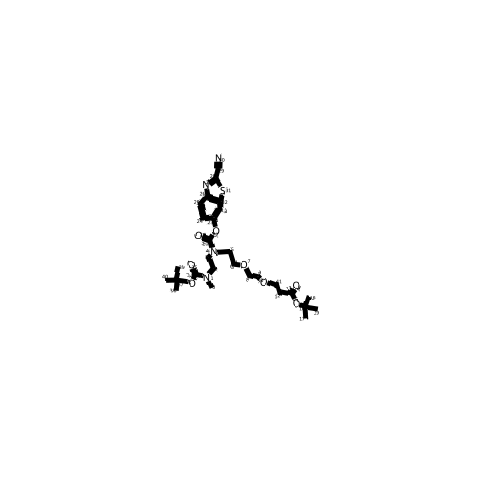 CN(CCN(CCOCCOCCC(=O)OC(C)(C)C)C(=O)Oc1ccc2nc(C#N)sc2c1)C(=O)OC(C)(C)C